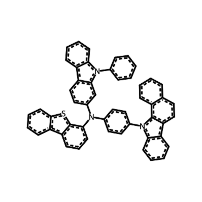 c1ccc(-n2c3ccccc3c3ccc(N(c4ccc(-n5c6ccccc6c6ccc7ccccc7c65)cc4)c4cccc5c4sc4ccccc45)cc32)cc1